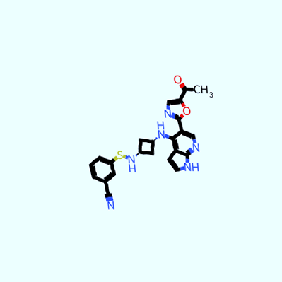 CC(=O)c1cnc(-c2cnc3[nH]ccc3c2N[C@H]2C[C@@H](NSc3cccc(C#N)c3)C2)o1